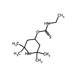 CCNC(=S)OC1CC(C)(C)NC(C)(C)C1